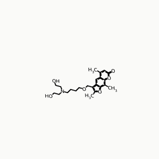 Cc1oc2c(C)c3oc(=O)cc(C)c3cc2c1COCCCCN(CCO)CCO